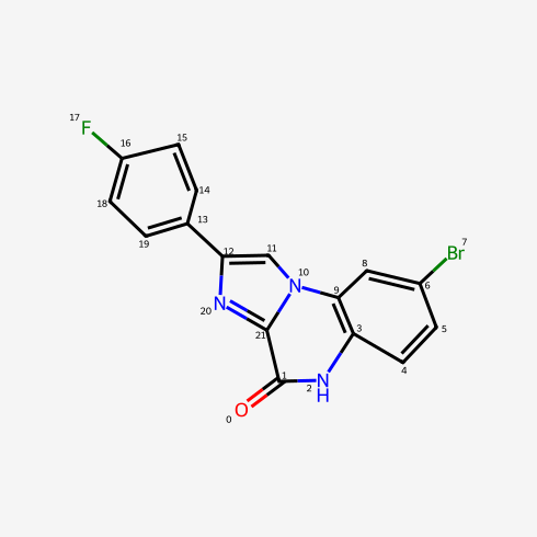 O=c1[nH]c2ccc(Br)cc2n2cc(-c3ccc(F)cc3)nc12